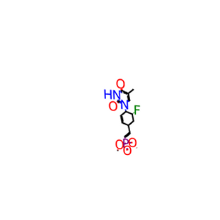 COP(=O)(/C=C/C1C=C[C@@H](n2cc(C)c(=O)[nH]c2=O)[C@H](F)C1)OC